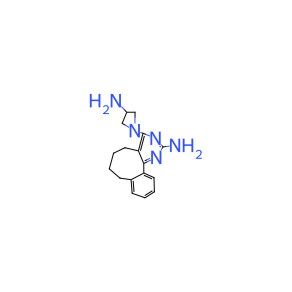 Nc1nc2c(c(N3CC(N)C3)n1)CCCCc1ccccc1-2